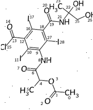 CC(=O)OC(C)C(=O)Nc1c(I)c(C(=O)Cl)c(I)c(C(=O)NC(C)(O)CO)c1I